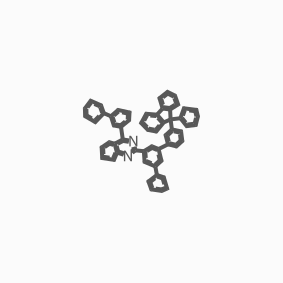 c1ccc(-c2cc(-c3cccc(C4(c5ccccc5)c5ccccc5-c5ccccc54)c3)cc(-c3nc(-c4cccc(-c5ccccc5)c4)c4ccccc4n3)c2)cc1